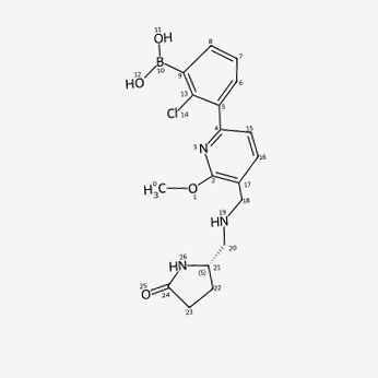 COc1nc(-c2cccc(B(O)O)c2Cl)ccc1CNC[C@@H]1CCC(=O)N1